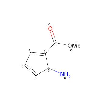 COC(=O)C1=CC=CC1N